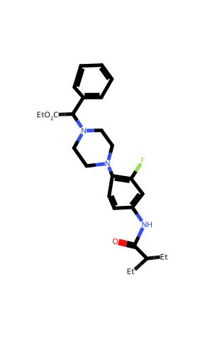 CCOC(=O)C(c1ccccc1)N1CCN(c2ccc(NC(=O)C(CC)CC)cc2F)CC1